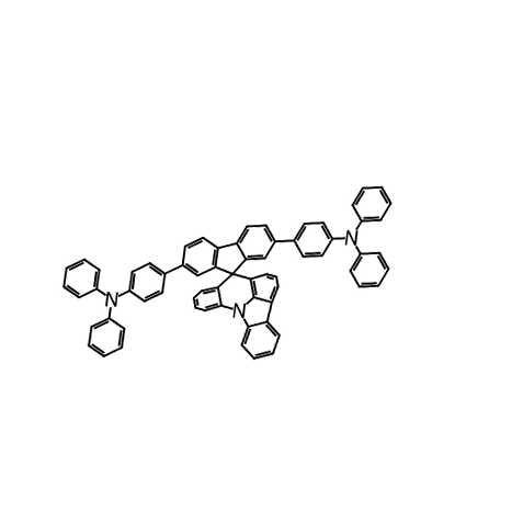 c1ccc(N(c2ccccc2)c2ccc(-c3ccc4c(c3)C3(c5cc(-c6ccc(N(c7ccccc7)c7ccccc7)cc6)ccc5-4)c4ccccc4-n4c5ccccc5c5cccc3c54)cc2)cc1